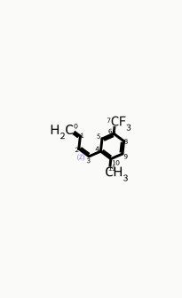 C=C/C=C\c1cc(C(F)(F)F)ccc1C